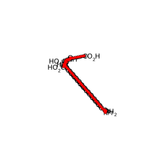 CCC[C@H](CC(=O)CCCCOCCOCCOCCOCCOCCOCCOCCOCCOCCOCCOCCOCCOCCOCCOCCOCCOCCOCCOCCOCCOCCOCCOCCOCCCC(=O)[C@H](CCC(=O)O)NC(=O)CC[C@H](CC(=O)[C@H]1CC[C@@H](CNC(=O)CCCCCCCCCCCCCCCCCCC(=O)O)CC1)C(=O)O)C(N)=O